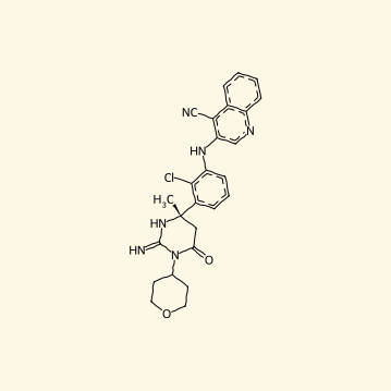 C[C@@]1(c2cccc(Nc3cnc4ccccc4c3C#N)c2Cl)CC(=O)N(C2CCOCC2)C(=N)N1